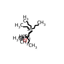 CCC[CH2][Sn](/[CH]=C/CC(C)(CCC)O[Si](C)(C)C)([CH2]CCC)[CH2]CCC